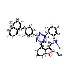 C=Cc1oc2cccc(-c3nc(-c4ccccc4)nc(-c4ccc(-c5cccc6ccccc56)cc4)n3)c2c1/C=N\C